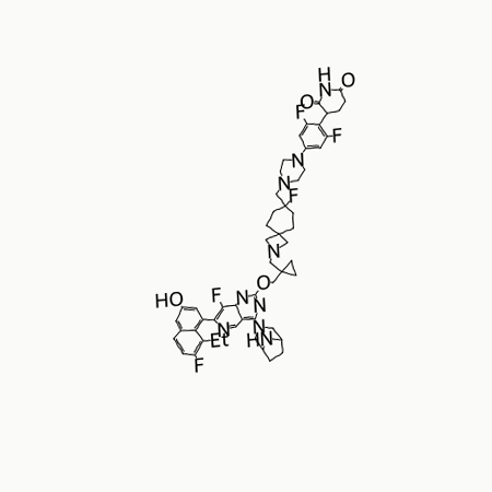 CCc1c(F)ccc2cc(O)cc(-c3ncc4c(N5CC6CCC(C5)N6)nc(OCC5(CN6CC7(CCC(F)(CN8CCN(c9cc(F)c(C%10CCC(=O)NC%10=O)c(F)c9)CC8)CC7)C6)CC5)nc4c3F)c12